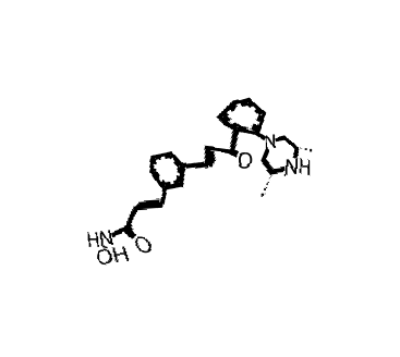 C[C@@H]1CN(c2ccccc2C(=O)/C=C/c2cccc(/C=C/C(=O)NO)c2)C[C@H](C)N1